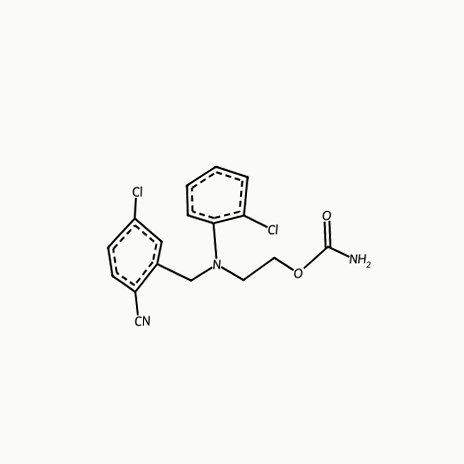 N#Cc1ccc(Cl)cc1CN(CCOC(N)=O)c1ccccc1Cl